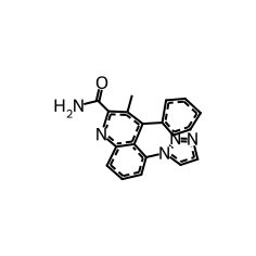 Cc1c(C(N)=O)nc2cccc(-n3ccnn3)c2c1-c1ccccc1